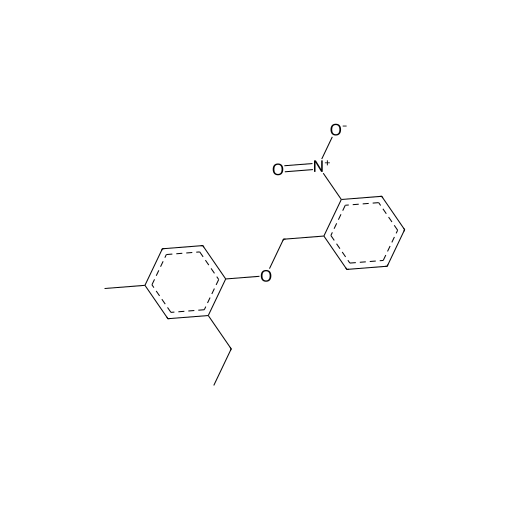 CCc1cc(C)ccc1OCc1ccccc1[N+](=O)[O-]